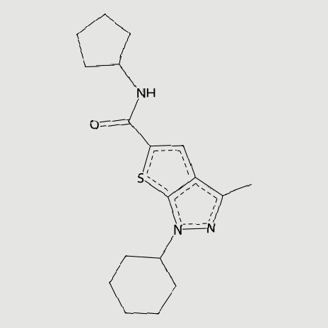 Cc1nn(C2CCCCC2)c2sc(C(=O)NC3CCCC3)cc12